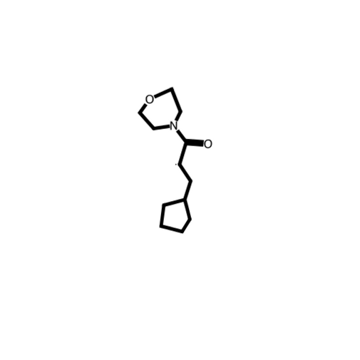 O=C([CH]CC1CCCC1)N1CCOCC1